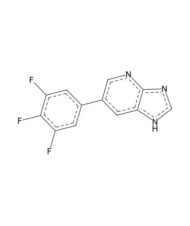 Fc1cc(-c2cnc3nc[nH]c3c2)cc(F)c1F